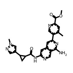 COC(=O)c1cc(C)c(-c2cc3cc(NC(=O)C4CC4c4cnn(C)c4)ncc3c(N)n2)cn1